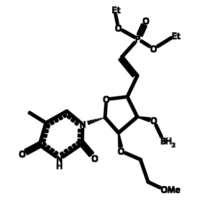 BO[C@@H]1C(/C=C/P(=O)(OCC)OCC)O[C@@H](n2cc(C)c(=O)[nH]c2=O)[C@@H]1OCCOC